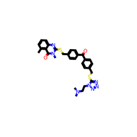 Cc1cccc2nc(SCc3ccc(C(=O)c4ccc(CSc5nnnn5CCN(C)C)cc4)cc3)n(C)c(=O)c12